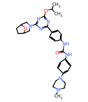 CC(C)Oc1nc(-c2ccc(NC(=O)Nc3ccc(N4CCN(C)CC4)cc3)cc2)nc(N2CC3CCC(C2)O3)n1